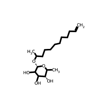 C=CCCCCCCCCC(C)O[C@@H]1OC(C)[C@H](O)C(O)C1O